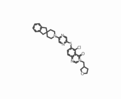 O=c1c2c(Cl)c(Sc3cnc(N4CCC5(CC4)Cc4ccccc4C5)cn3)ccc2ncn1CC1CCOC1